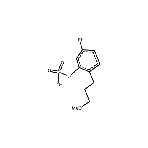 CCc1ccc(CCCOC)c(OS(C)(=O)=O)c1